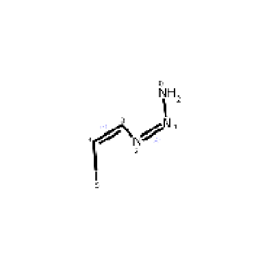 N/N=N\C=C/I